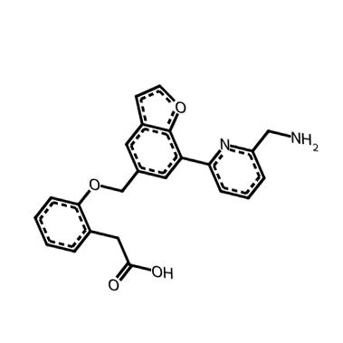 NCc1cccc(-c2cc(COc3ccccc3CC(=O)O)cc3ccoc23)n1